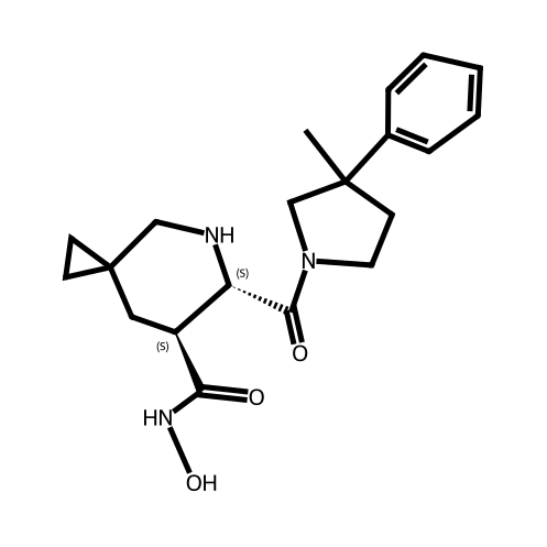 CC1(c2ccccc2)CCN(C(=O)[C@H]2NCC3(CC3)C[C@@H]2C(=O)NO)C1